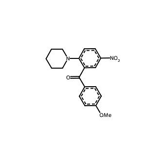 COc1ccc(C(=O)c2cc([N+](=O)[O-])ccc2N2CCCCC2)cc1